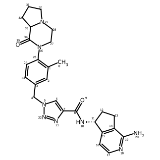 Cc1cc(Cn2cc(C(=O)N[C@@H]3CCc4c3ccnc4N)nn2)ccc1N1CCN2CCCC2C1=O